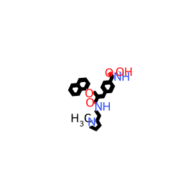 CN1CCCC1CCNC(=O)/C(=C/c1ccc(C(=O)NO)cc1)COc1cccc2ccccc12